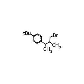 CC(CBr)C(C)c1ccc(C(C)(C)C)cc1